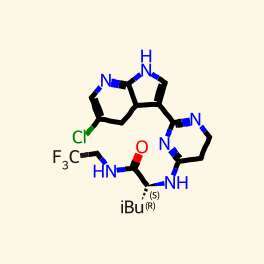 CC[C@@H](C)[C@H](NC1=NC(C2=CNC3=NC=C(Cl)CC23)=NCC1)C(=O)NCC(F)(F)F